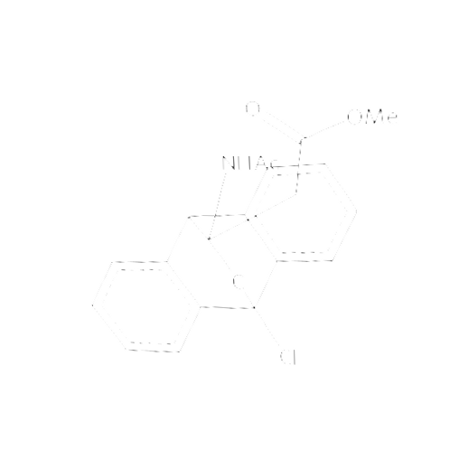 COC(=O)CC1(NC(C)=O)CC2(Cl)c3ccccc3C1c1ccccc12